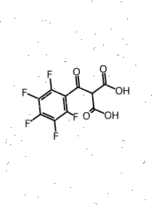 O=C(O)C(C(=O)O)C(=O)c1c(F)c(F)c(F)c(F)c1F